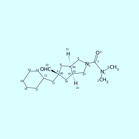 CN(C)C(=O)N1C[C@@H]2C[C@@](C=O)(CC3CCCCC3)C[C@@H]2C1